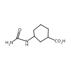 NC(=O)NC1CCCC(C(=O)O)C1